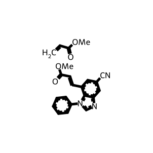 C=CC(=O)OC.COC(=O)C=Cc1cc(C#N)cc2ncn(-c3ccccc3)c12